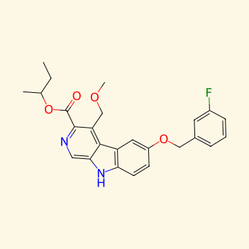 CCC(C)OC(=O)c1ncc2[nH]c3ccc(OCc4cccc(F)c4)cc3c2c1COC